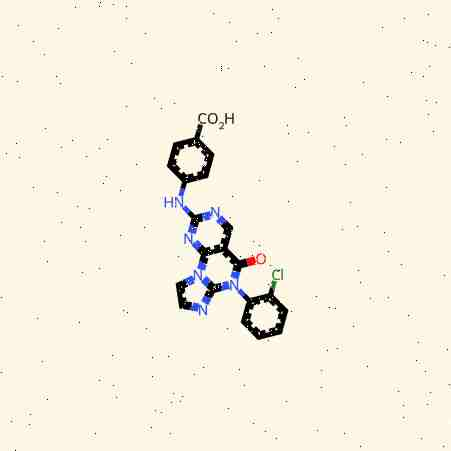 O=C(O)c1ccc(Nc2ncc3c(=O)n(-c4ccccc4Cl)c4nccn4c3n2)cc1